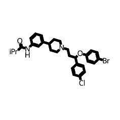 CC(C)C(=O)Nc1cccc(C2CCN(CCC(Oc3ccc(Br)cc3)c3ccc(Cl)cc3)CC2)c1